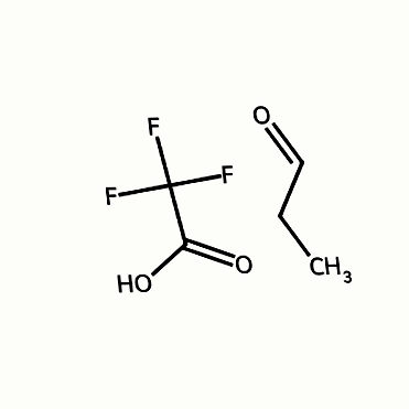 CCC=O.O=C(O)C(F)(F)F